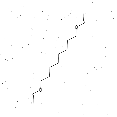 C=COCCCCCCCCOC=C